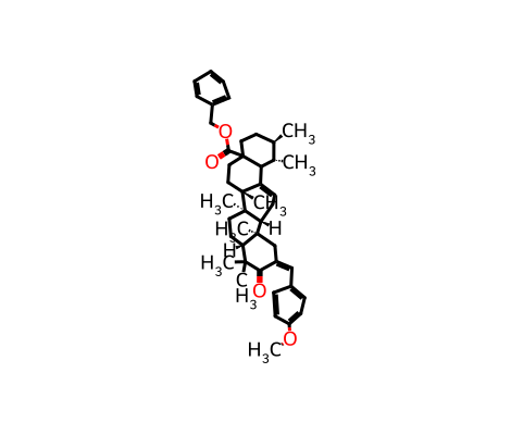 COc1ccc(C=C2C[C@]3(C)[C@H]4CC=C5C6[C@@H](C)[C@H](C)CCC6(C(=O)OCc6ccccc6)CC[C@@]5(C)[C@]4(C)CC[C@H]3C(C)(C)C2=O)cc1